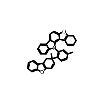 Cc1ccc(C2(C)C=Cc3oc4ccccc4c3C2)c(-n2c3ccccc3c3ccc4oc5c(c4c32)C=CCC5)c1